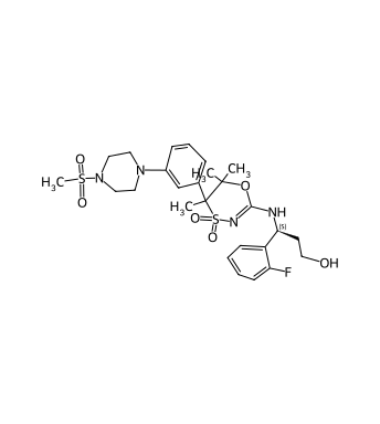 CC1(C)OC(N[C@@H](CCO)c2ccccc2F)=NS(=O)(=O)C1(C)c1cccc(N2CCN(S(C)(=O)=O)CC2)c1